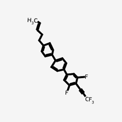 C/C=C/CCc1ccc(-c2ccc(-c3cc(F)c(C#CC(F)(F)F)c(F)c3)cc2)cc1